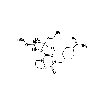 CCCCOC(=O)N[C@@H](C(=O)N1CCC[C@H]1C(=O)NC[C@H]1CC[C@H](C(=N)N)CC1)C(C)(C)SCC(C)C